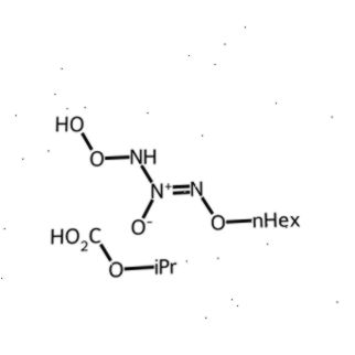 CC(C)OC(=O)O.CCCCCCON=[N+]([O-])NOO